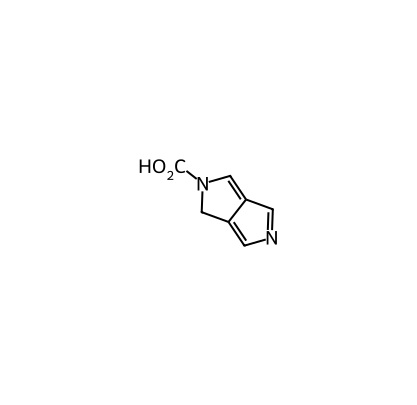 O=C(O)N1C=C2C=NC=C2C1